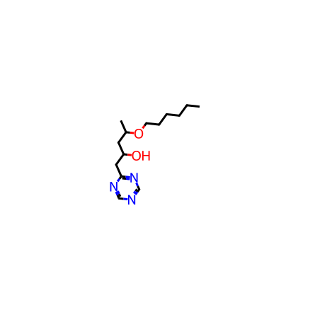 CCCCCCOC(C)CC(O)Cc1ncncn1